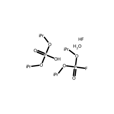 CC(C)OP(=O)(F)OC(C)C.CC(C)OP(=O)(O)OC(C)C.F.O